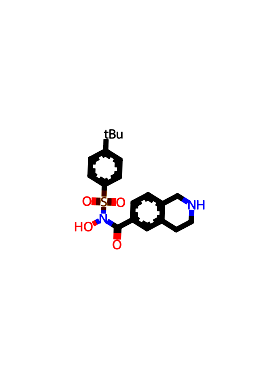 CC(C)(C)c1ccc(S(=O)(=O)N(O)C(=O)c2ccc3c(c2)CCNC3)cc1